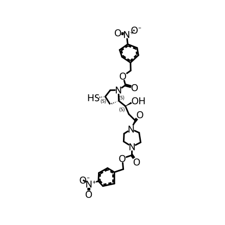 O=C(C[C@H](O)[C@@H]1C[C@H](S)CN1C(=O)OCc1ccc([N+](=O)[O-])cc1)N1CCN(C(=O)OCc2ccc([N+](=O)[O-])cc2)CC1